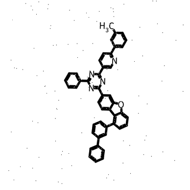 Cc1cccc(-c2ccc(-c3nc(-c4ccccc4)nc(-c4ccc5c(c4)oc4cccc(-c6cccc(-c7ccccc7)c6)c45)n3)cn2)c1